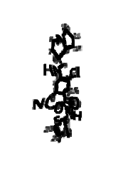 N#Cc1cc(NC[C@@H]2CCN3CCCC23)c(Cl)cc1S(=O)(=O)Nc1nccs1